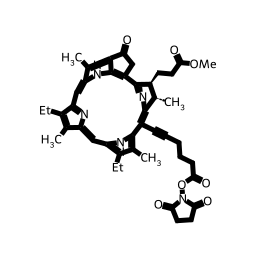 CCC1=C(C)c2cc3[nH]c(c(C)c3CC)c(C#CCCCC(=O)ON3C(=O)CCC3=O)c3nc(c4c5[nH]c(cc1n2)c(C)c5C(=O)C4)[C@@H](CCC(=O)OC)[C@@H]3C